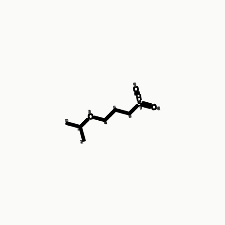 CC(C)OCCC[SH](=O)=O